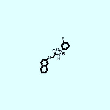 O=C(COc1ccc2ccccc2c1)NS(=O)(=O)c1cccc(F)c1